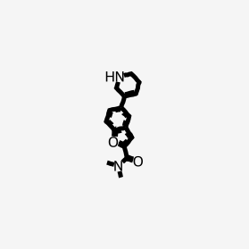 CN(C)C(=O)c1cc2cc(C3=CCCNC3)ccc2o1